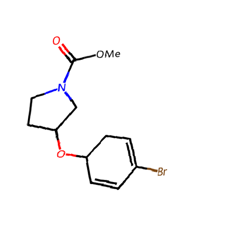 COC(=O)N1CCC(OC2C=CC(Br)=CC2)C1